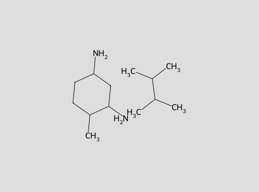 CC(C)C(C)C.CC1CCC(N)CC1N